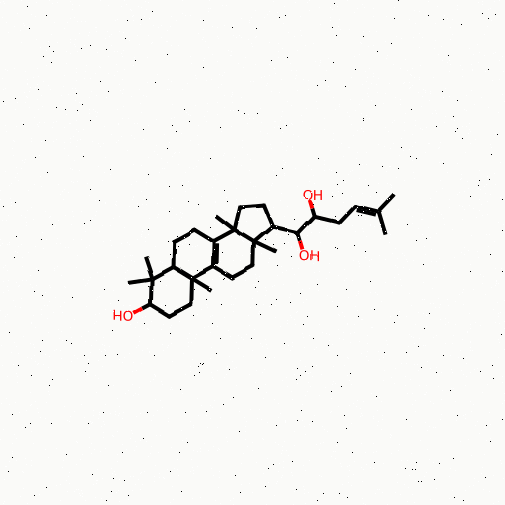 CC(C)=CCC(O)C(O)C1CCC2(C)C3=C(CCC12C)C1(C)CCC(O)C(C)(C)C1CC3